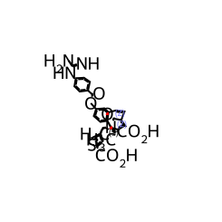 CC1C/C=C(C(=O)N(Cc2csc(C(=O)O)c2)[C@@H](C)C(=O)O)/C=C\c2cc(OC(=O)c3ccc(NC(=N)N)cc3)ccc21